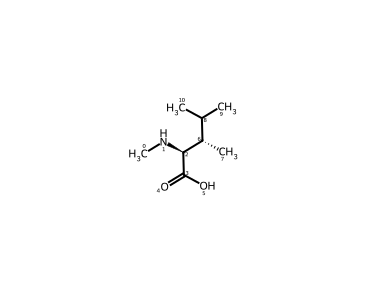 CN[C@H](C(=O)O)[C@@H](C)C(C)C